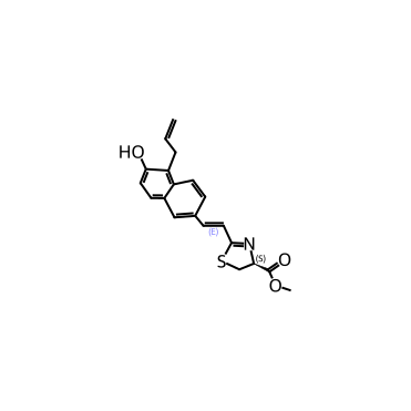 C=CCc1c(O)ccc2cc(/C=C/C3=N[C@@H](C(=O)OC)CS3)ccc12